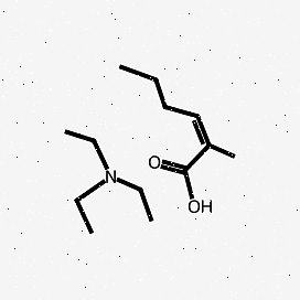 CCCC=C(C)C(=O)O.CCN(CC)CC